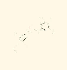 CCCOc1c(OC)cc(C(O)CCC(O)c2cc(OC)c(OC)c(OC)c2)cc1SC